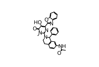 CC(=O)Nc1ccc2c(c1)C(c1ccccc1)N(c1nc(-c3nc4ccccc4o3)c(O)c(=O)n1C)CC2